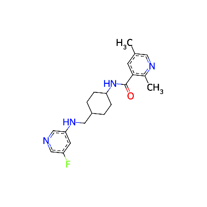 Cc1cnc(C)c(C(=O)NC2CCC(CNc3cncc(F)c3)CC2)c1